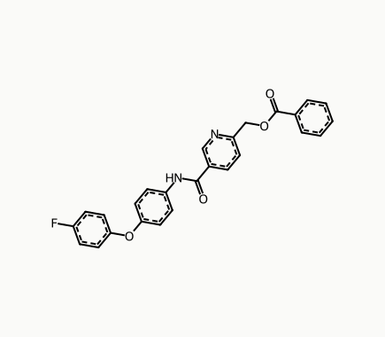 O=C(Nc1ccc(Oc2ccc(F)cc2)cc1)c1ccc(COC(=O)c2ccccc2)nc1